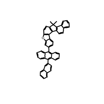 CC1(C)c2ccc3oc4cc(-c5c6ccccc6c(-c6ccc7ccccc7c6)c6ccccc56)ccc4c3c2-c2ccc3ccccc3c21